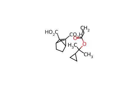 C=CC(=O)OC(C)(C)C1CC1.O=C(O)C1=C(C(=O)O)C2CCC1C2